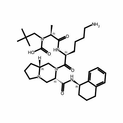 C[C@@H](C(=O)N[C@@H](CCCCN)C(=O)N1C[C@H]2CCCN2C[C@H]1C(=O)N[C@@H]1CCCc2ccccc21)N(CC(C)(C)C)C(=O)O